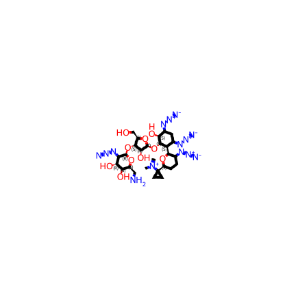 C=[N+](C)C1([C@@H]2CCC(N=[N+]=[N-])C([C@@H]3C(N=[N+]=[N-])CC(N=[N+]=[N-])[C@H](O)[C@H]3O[C@@H]3O[C@H](CO)[C@@H](O[C@H]4O[C@@H](CN)[C@@H](O)[C@H](O)C4N=[N+]=[N-])[C@H]3O)O2)CC1